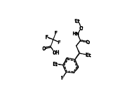 CCONC(=O)CC(CC)c1ccc(F)c(CC)c1.O=C(O)C(F)(F)F